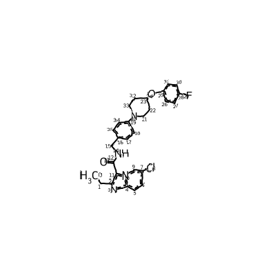 CCc1nc2ccc(Cl)cn2c1C(=O)NCc1ccc(N2CCC(Oc3ccc(F)cc3)CC2)cc1